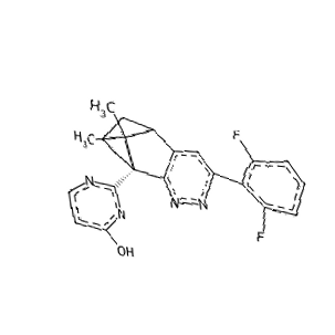 CC1(C)C2CC[C@]1(c1nccc(O)n1)c1nnc(-c3c(F)cccc3F)cc12